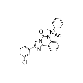 CC(=O)[N+](C)(c1ccccc1)n1c(=O)n2cc(-c3cccc(Cl)c3)nc2c2ccccc21